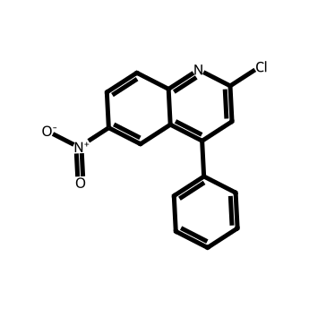 O=[N+]([O-])c1ccc2nc(Cl)cc(-c3ccccc3)c2c1